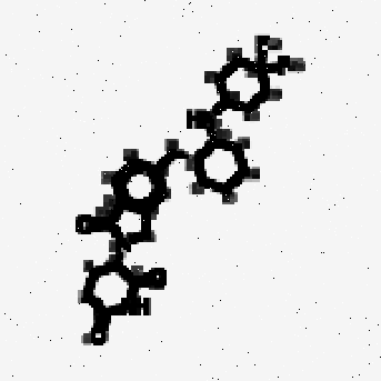 O=C1CC[C@H](N2Cc3cc(C[C@H]4CCCC[C@@H]4NC4CCC(F)(F)CC4)ccc3C2=O)C(=O)N1